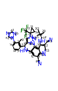 Cc1c(C(Nc2cc(C#N)c3ncc(C#N)c(NCC(C)(C)C)c3c2)c2cn(C3(C(F)(F)F)CC3)nn2)cccc1-n1cncn1